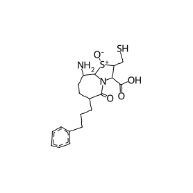 NC1CCC(CCCc2ccccc2)C(=O)N2C(C(=O)O)C(CS)[S+]([O-])C12